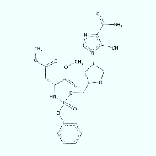 COC(=O)C[C@@H](NP(=O)(OCC1CC(n2cnc(C(N)=O)c2O)CO1)Oc1ccccc1)C(=O)OC